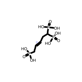 O=P(O)(O)C/C=C/CC(P(=O)(O)O)P(=O)(O)O